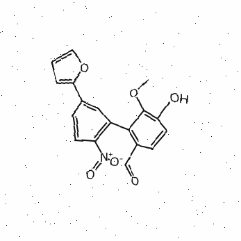 COc1c(O)ccc(C=O)c1-c1cc(-c2ccco2)ccc1[N+](=O)[O-]